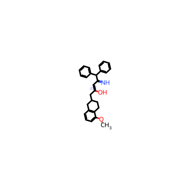 COc1cccc2c1CCC(C/C(O)=C/C(=N)C(c1ccccc1)c1ccccc1)C2